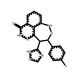 O=c1[nH]nc2c3c(cccc13)NOC(c1ccc(F)cc1)C2c1ncn[nH]1